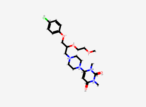 COCCOC(COc1ccc(Cl)cc1)CN1CCN(c2cc(=O)n(C)c(=O)n2C)CC1